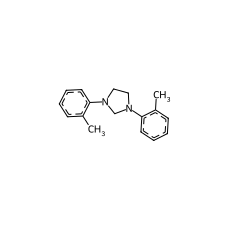 Cc1ccccc1N1CCN(c2ccccc2C)C1